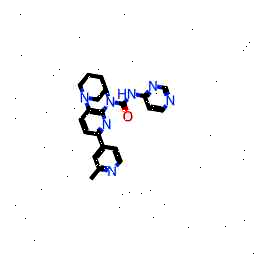 Cc1cc(-c2ccc3c(n2)N(C(=O)Nc2ccncn2)C2CCCN3C2)ccn1